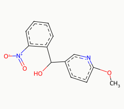 COc1ccc(C(O)c2ccccc2[N+](=O)[O-])cn1